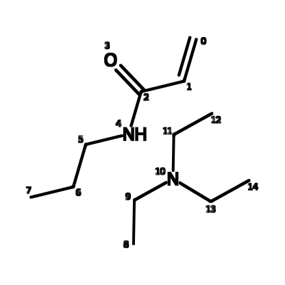 C=CC(=O)NCCC.CCN(CC)CC